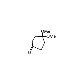 COC1(OC)CCC(=O)CC1